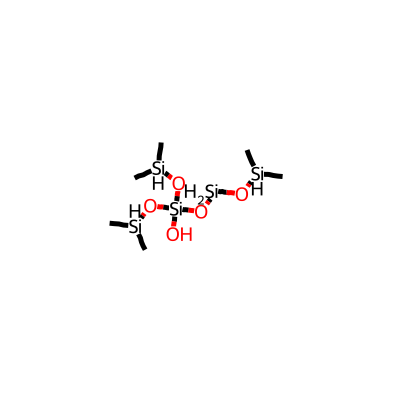 C[SiH](C)O[SiH2]O[Si](O)(O[SiH](C)C)O[SiH](C)C